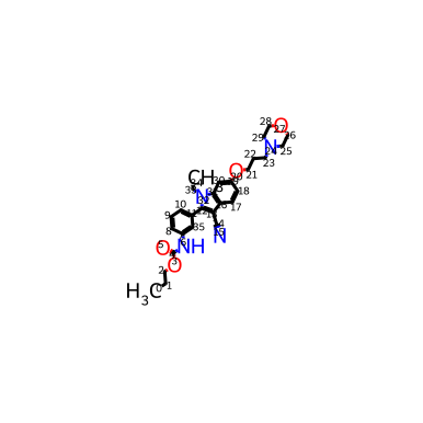 CCCOC(=O)Nc1cccc(-c2c(C#N)c3ccc(OCCCN4CCOCC4)cc3n2CC)c1